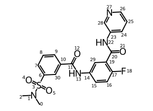 CN(C)S(=O)(=O)c1cccc(C(=O)Nc2ccc(F)c(C(=O)Nc3cccnc3)c2)c1